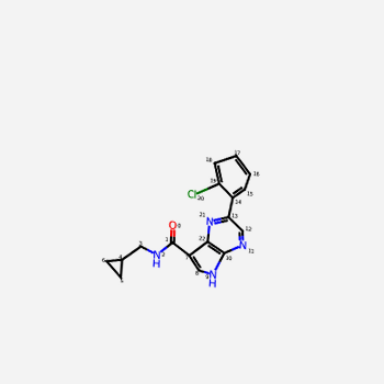 O=C(NCC1CC1)c1c[nH]c2ncc(-c3ccccc3Cl)nc12